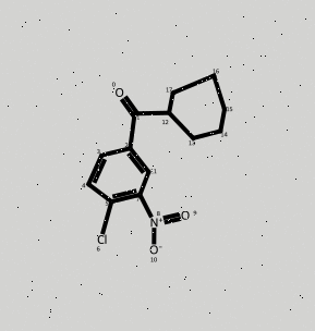 O=C(c1ccc(Cl)c([N+](=O)[O-])c1)C1CCCCC1